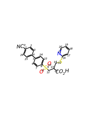 N#Cc1ccc(-c2ccc(S(=O)(=O)CC(CSc3ccccn3)C(=O)O)cc2)cc1